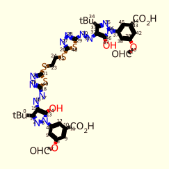 CC(C)(C)c1nn(-c2cc(OC=O)cc(C(=O)O)c2)c(O)c1N=Nc1nnc(SCCSc2nnc(N=Nc3c(C(C)(C)C)nn(-c4cc(OC=O)cc(C(=O)O)c4)c3O)s2)s1